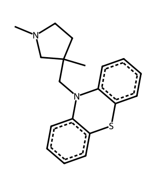 CN1CCC(C)(CN2c3ccccc3Sc3ccccc32)C1